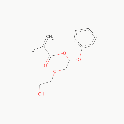 C=C(C)C(=O)OC(COCCO)Oc1ccccc1